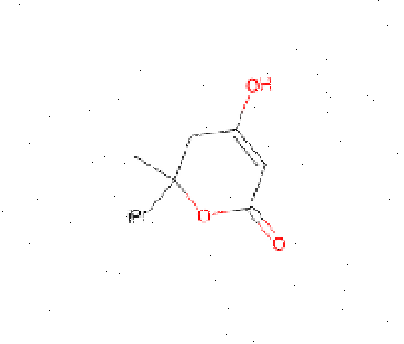 CC(C)C1(C)CC(O)=CC(=O)O1